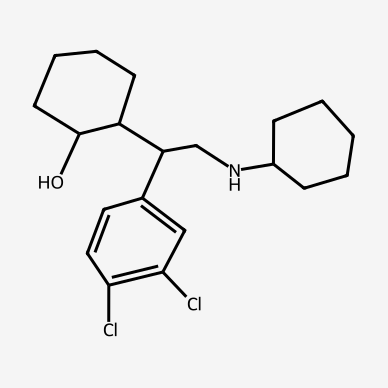 OC1CCCCC1C(CNC1CCCCC1)c1ccc(Cl)c(Cl)c1